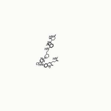 C=C(CCC1=Cc2cc(Nc3nc(N4CCCC(CCNc5cccc6c(C7CCC(=C)NC7=C)nn(C)c56)C4)ncc3Cl)ccc2N(C)C1=C)NC